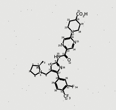 C[C@@H]1CCCN1Cc1sc(NC(=O)c2cnc(N3CCC(C(=O)O)CC3)cn2)nc1-c1ccc(C(F)(F)F)c(F)c1